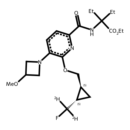 [2H]C([2H])(F)[C@H]1C[C@@H]1COc1nc(C(=O)NC(CC)(CC)C(=O)OCC)ccc1N1CC(OC)C1